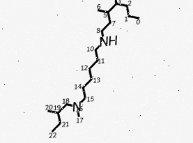 CCCC(C)C(C)CCNCCCCCCN(C)CC(C)CC